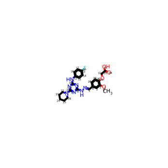 COc1cc(/C=N/Nc2nc(Nc3ccc(F)cc3)nc(N3CCCCC3)n2)ccc1OCC(=O)O